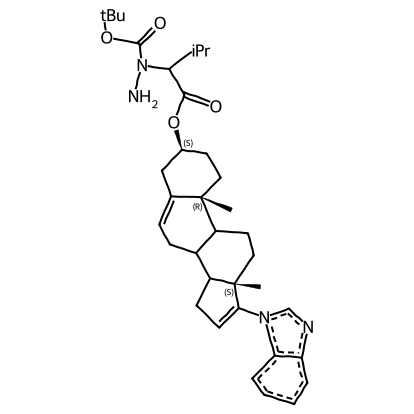 CC(C)C(C(=O)O[C@H]1CC[C@@]2(C)C(=CCC3C2CC[C@]2(C)C(n4cnc5ccccc54)=CCC32)C1)N(N)C(=O)OC(C)(C)C